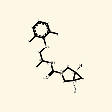 Cc1cccc(C)c1OCC(C)NC(=O)N1C[C@H]2C[C@H]2C1